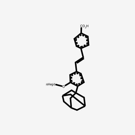 CCCCCCCOc1cc(/C=C/c2ccc(C(=O)O)cc2)ccc1C12CC3CC(CC(C3)C1)C2